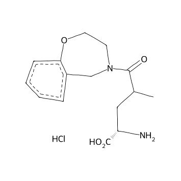 CC(C[C@H](N)C(=O)O)C(=O)N1CCOc2ccccc2C1.Cl